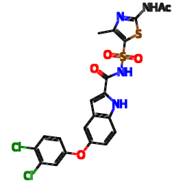 CC(=O)Nc1nc(C)c(S(=O)(=O)NC(=O)c2cc3cc(Oc4ccc(Cl)c(Cl)c4)ccc3[nH]2)s1